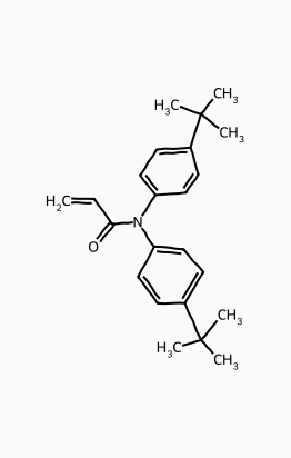 C=CC(=O)N(c1ccc(C(C)(C)C)cc1)c1ccc(C(C)(C)C)cc1